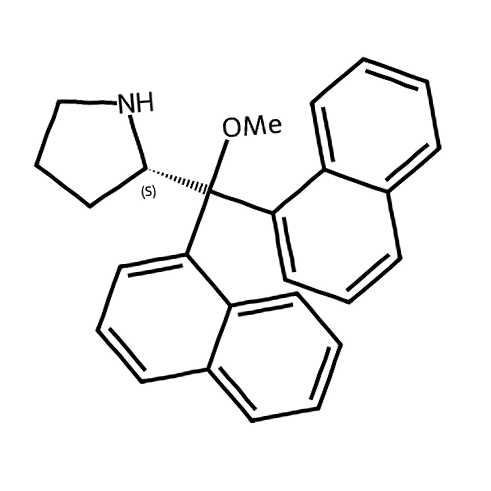 COC(c1cccc2ccccc12)(c1cccc2ccccc12)[C@@H]1CCCN1